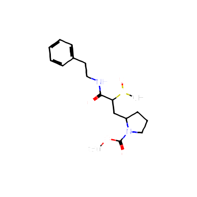 C[S+]([O-])C(CC1CCCN1C(=O)OC(C)(C)C)C(=O)NCCc1ccccc1